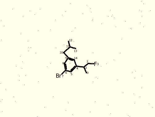 C[C](CF)c1cc(Br)cc(CC(C)C)c1